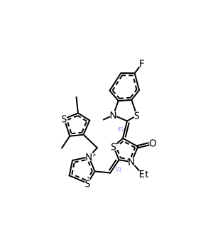 CCn1c(=O)/c(=C2\Sc3cc(F)ccc3N2C)s/c1=C\c1scc[n+]1Cc1cc(C)sc1C